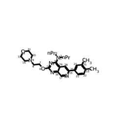 CCCN(CCC)c1nc(OCCN2CCOCC2)nc2cnc(-c3ccc(C)c(C)c3)cc12